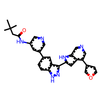 CC(C)(C)CC(=O)Nc1cncc(-c2ccc3[nH]nc(-c4cc5c(-c6ccoc6)cncc5[nH]4)c3c2)c1